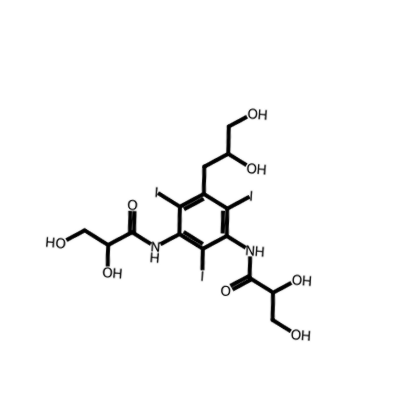 O=C(Nc1c(I)c(CC(O)CO)c(I)c(NC(=O)C(O)CO)c1I)C(O)CO